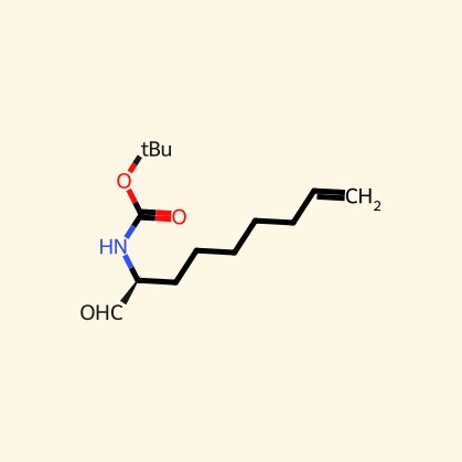 C=CCCCCC[C@@H](C=O)NC(=O)OC(C)(C)C